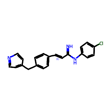 N=C(/C=C/c1ccc(Cc2ccncc2)cc1)Nc1ccc(Cl)cc1